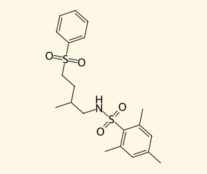 Cc1cc(C)c(S(=O)(=O)NCC(C)CCS(=O)(=O)c2ccccc2)c(C)c1